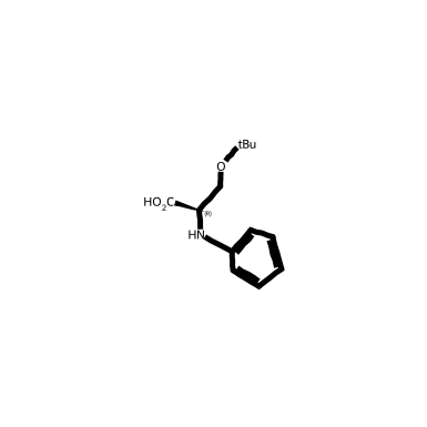 CC(C)(C)OC[C@@H](Nc1ccccc1)C(=O)O